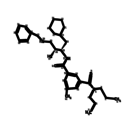 CCCN(CCC)C(=O)c1cc(C)cc(C(=O)N[C@@H](CC2CCCCC2)[C@H](O)CNCc2ccccc2)c1